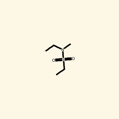 [CH2]CN(C)S(=O)(=O)CC